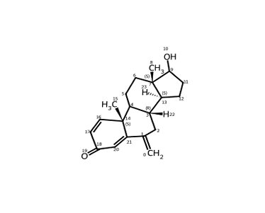 C=C1C[C@@H]2C(CC[C@]3(C)C(O)CC[C@@H]23)[C@@]2(C)C=CC(=O)C=C12